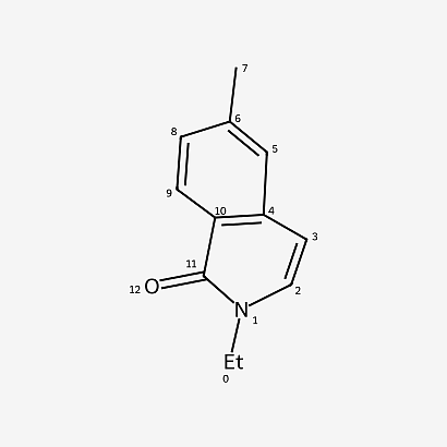 CCn1ccc2cc(C)ccc2c1=O